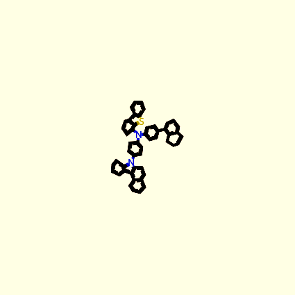 C1=Cc2cccc(-c3ccc(N(c4ccc(-n5c6ccccc6c6c7ccccc7ccc65)cc4)c4cccc5c4sc4ccccc45)cc3)c2CC1